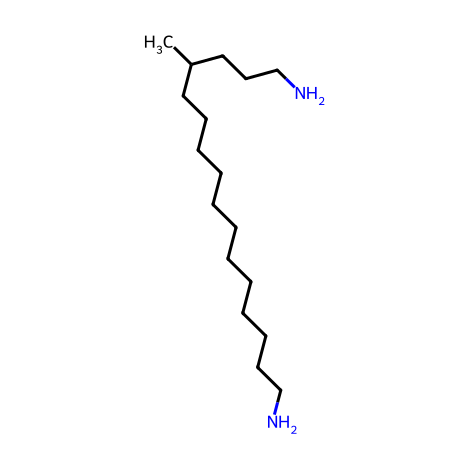 CC(CCCN)CCCCCCCCCCCCN